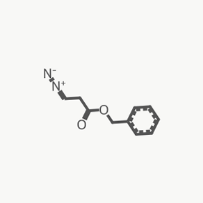 [N-]=[N+]=CCC(=O)OCc1ccccc1